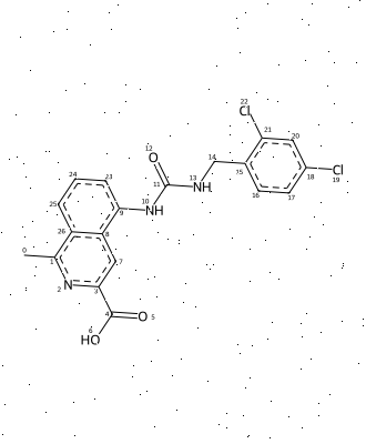 Cc1nc(C(=O)O)cc2c(NC(=O)NCc3ccc(Cl)cc3Cl)cccc12